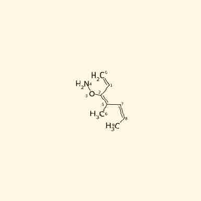 C=C/C(ON)=C(C)\C=C/C